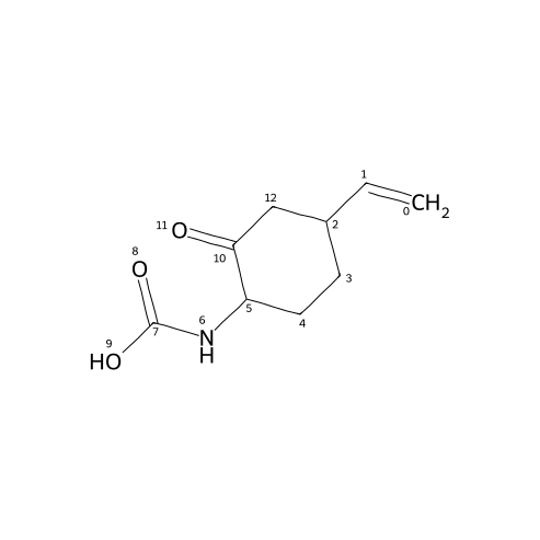 C=CC1CCC(NC(=O)O)C(=O)C1